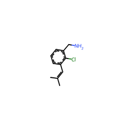 CC(C)=Cc1cccc(CN)c1Cl